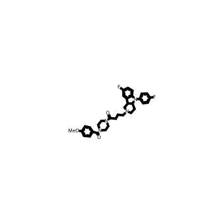 COc1ccc(C(=O)N2CCN(C(=O)CCCN3CCC4C(C3)c3cc(F)ccc3N4c3ccc(F)cc3)CC2)cc1